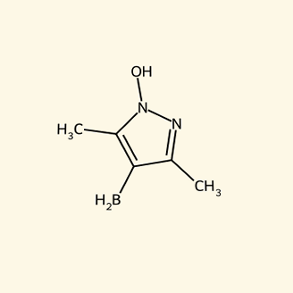 Bc1c(C)nn(O)c1C